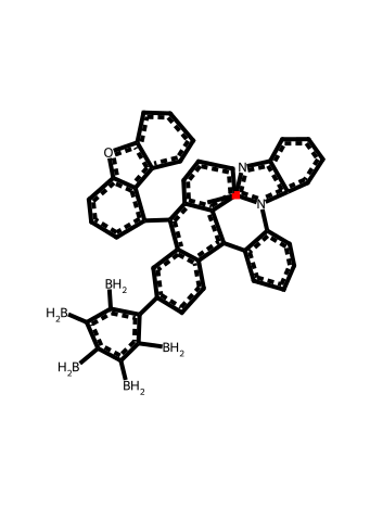 Bc1c(B)c(B)c(-c2ccc3c(-c4ccccc4-n4c(C)nc5ccccc54)c4ccccc4c(-c4cccc5oc6ccccc6c45)c3c2)c(B)c1B